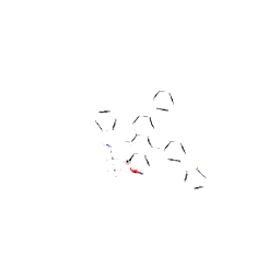 BC(O)(O)C(B)(B)c1nc2ccccc2n1-c1c2ccccc2c(-c2ccc3sc4ccccc4c3c2)c2cc(-c3ccccc3)ccc12